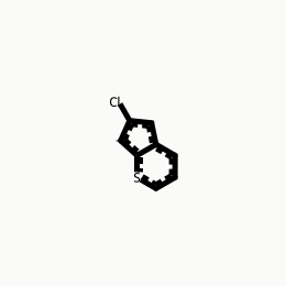 Clc1[c]c2scccc-2c1